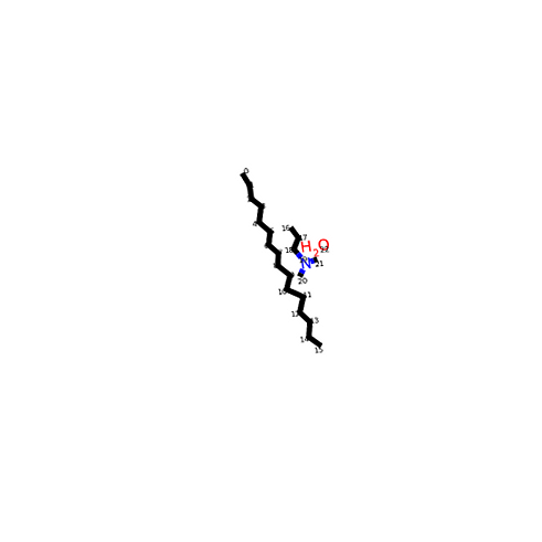 CCCCCCCCCCCCCCCC.CCCN(C)C.O